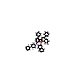 c1ccc(-c2ccc(N(c3ccc4ccccc4c3)c3ccc(-c4ccccc4)c4c3oc3c5ccccc5c(-c5ccccc5)cc34)cc2)cc1